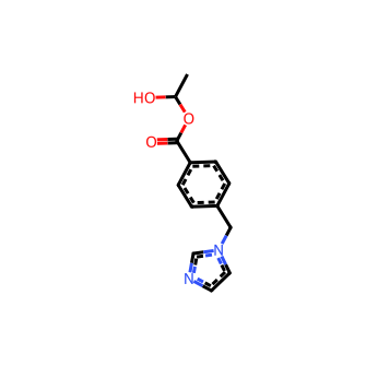 CC(O)OC(=O)c1ccc(Cn2ccnc2)cc1